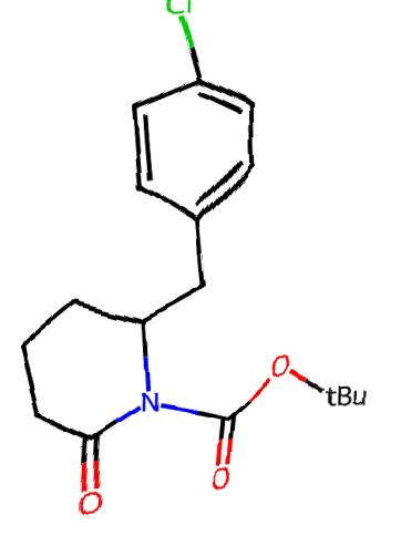 CC(C)(C)OC(=O)N1C(=O)CCCC1Cc1ccc(Cl)cc1